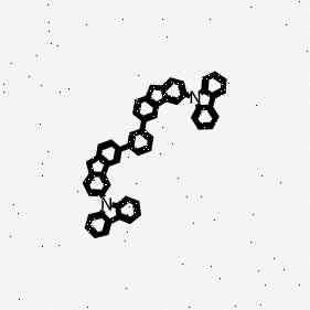 c1cc(-c2ccc3c(c2)-c2cc(-n4c5ccccc5c5ccccc54)ccc2C3)cc(-c2ccc3c(c2)-c2cc(-n4c5ccccc5c5ccccc54)ccc2C3)c1